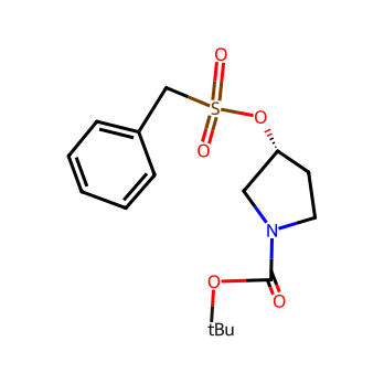 CC(C)(C)OC(=O)N1CC[C@@H](OS(=O)(=O)Cc2ccccc2)C1